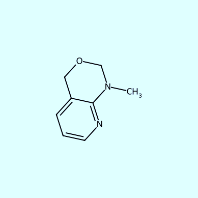 CN1COCc2cccnc21